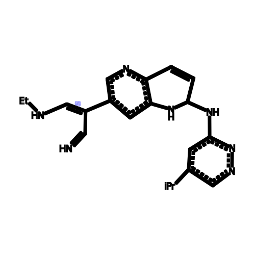 CCN/C=C(\C=N)c1cnc2c(c1)NC(Nc1cc(C(C)C)cnn1)C=C2